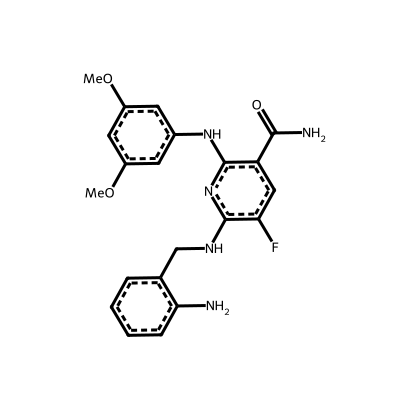 COc1cc(Nc2nc(NCc3ccccc3N)c(F)cc2C(N)=O)cc(OC)c1